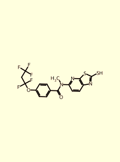 CN(C(=O)c1ccc(OC(F)(F)CC(F)(F)F)cc1)c1ccc2nc(S)sc2n1